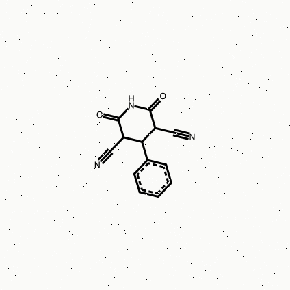 N#CC1C(=O)NC(=O)C(C#N)C1c1ccccc1